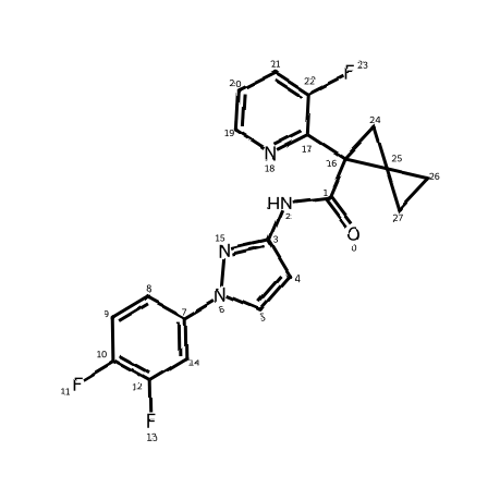 O=C(Nc1ccn(-c2ccc(F)c(F)c2)n1)C1(c2ncccc2F)CC12CC2